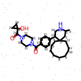 CC1CC2(CCCCCCCCC2)C(c2ccc(C(=O)N3CCN(C(=O)C4(O)CC4)CC3)cc2)CN1